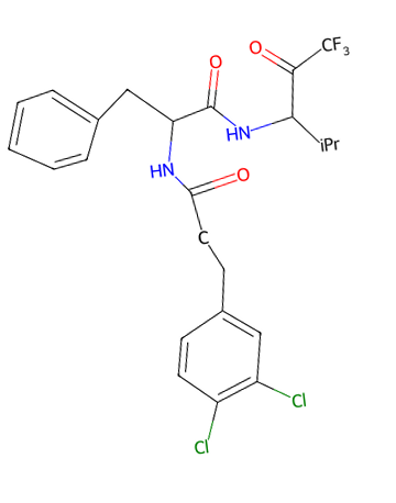 CC(C)C(NC(=O)C(Cc1ccccc1)NC(=O)CCc1ccc(Cl)c(Cl)c1)C(=O)C(F)(F)F